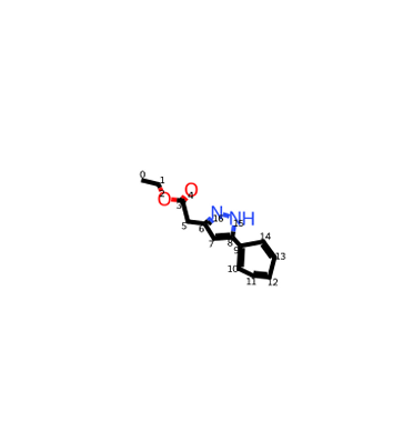 CCOC(=O)Cc1cc(-c2ccccc2)[nH]n1